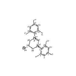 Cc1cc(C)c(N2C=[N+](c3c(C)cc(C)cc3C)CCC2)c(C)c1.[Br-]